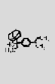 CCC(C)c1ccc(C(O)(CC)C23CC4CC(CC(C4)C2)C3)cc1